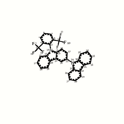 FC(F)(F)c1cccc(C(F)(F)F)c1-n1c2ccccc2c2cc(-n3c4ccccc4c4ccccc43)ccc21